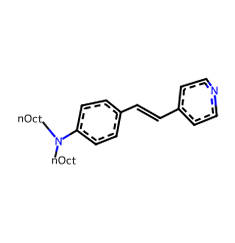 CCCCCCCCN(CCCCCCCC)c1ccc(C=Cc2ccncc2)cc1